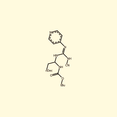 CCCCCCCCCCCC(NC(=O)OC(C)(C)C)N/C(=N\c1ccncc1)NC#N